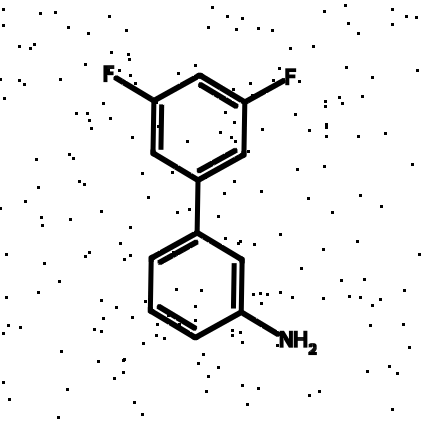 Nc1cccc(-c2cc(F)cc(F)c2)c1